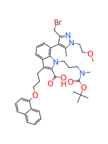 COCCn1nc(CBr)c(-c2cccc3c(CCCOc4cccc5ccccc45)c(C(=O)O)n(CCCN(C)C(=O)OC(C)(C)C)c23)c1C